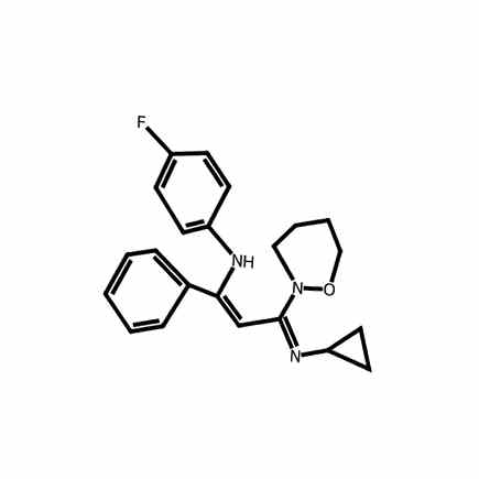 Fc1ccc(NC(=CC(=NC2CC2)N2CCCCO2)c2ccccc2)cc1